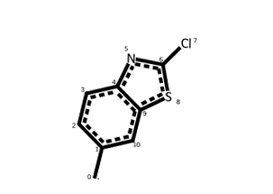 [CH2]c1ccc2nc(Cl)sc2c1